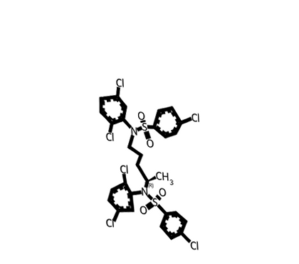 C[C@H](CCCN(c1cc(Cl)ccc1Cl)S(=O)(=O)c1ccc(Cl)cc1)N(c1cc(Cl)ccc1Cl)S(=O)(=O)c1ccc(Cl)cc1